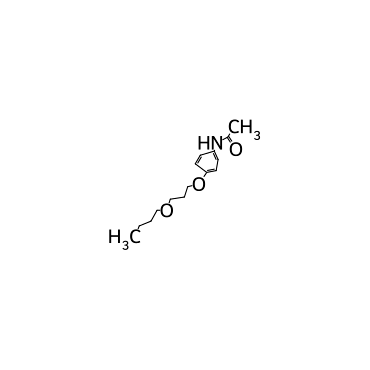 CCCCOCCCOc1ccc(NC(C)=O)cc1